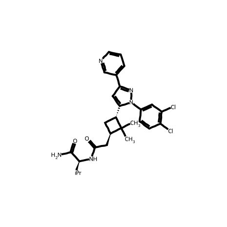 CC(C)[C@H](NC(=O)C[C@H]1C[C@H](c2cc(-c3cccnc3)nn2-c2ccc(Cl)c(Cl)c2)C1(C)C)C(N)=O